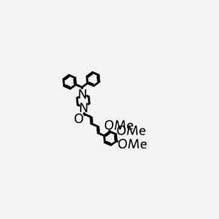 COc1ccc(C=CC=CC(=O)N2CCN(C(c3ccccc3)c3ccccc3)CC2)c(OC)c1OC